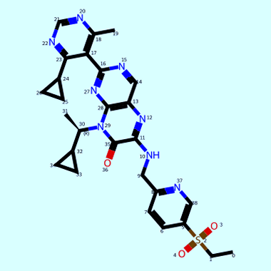 CCS(=O)(=O)c1ccc(CNc2nc3cnc(-c4c(C)ncnc4C4CC4)nc3n([C@H](C)C3CC3)c2=O)nc1